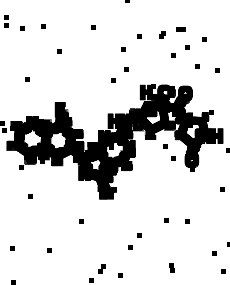 C[C@@]1(C(=O)N2CNC(=O)C2)CC[C@@H](Nc2ncc3c(Br)nn(-c4cc(F)c5ncccc5c4)c3n2)C1